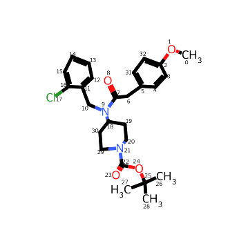 COc1ccc(CC(=O)N(Cc2ccccc2Cl)C2CCN(C(=O)OC(C)(C)C)CC2)cc1